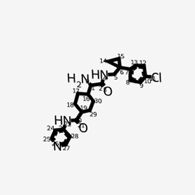 NC(C(=O)NCC1(c2ccc(Cl)cc2)CC1)C1CCC(C(=O)Nc2ccncc2)CC1